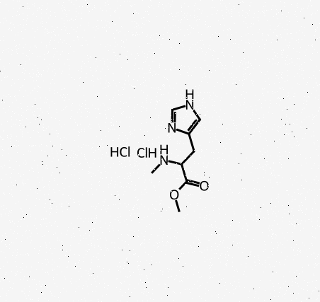 CNC(Cc1c[nH]cn1)C(=O)OC.Cl.Cl